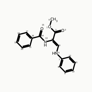 COC(=O)C(=CNc1ccccc1)NC(=O)c1ccccc1